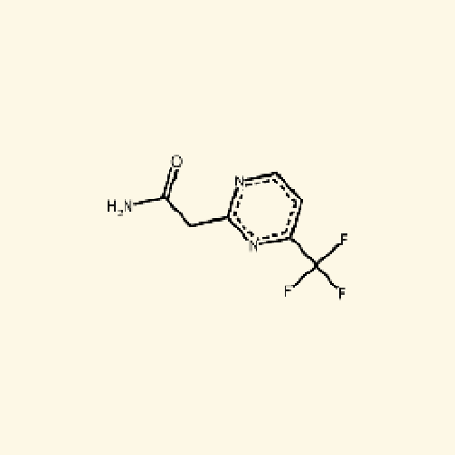 NC(=O)Cc1nccc(C(F)(F)F)n1